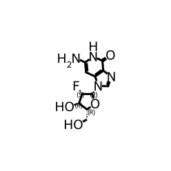 Nc1cc2c(ncn2[C@@H]2O[C@H](CO)[C@@H](O)[C@@H]2F)c(=O)[nH]1